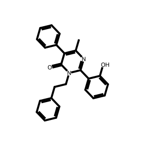 Cc1nc(-c2ccccc2O)n(CCc2ccccc2)c(=O)c1-c1ccccc1